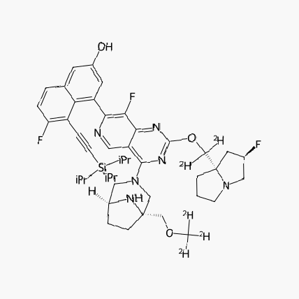 [2H]C([2H])([2H])OC[C@@]12CC[C@@H](CN(c3nc(OC([2H])([2H])[C@@]45CCCN4C[C@H](F)C5)nc4c(F)c(-c5cc(O)cc6ccc(F)c(C#C[Si](C(C)C)(C(C)C)C(C)C)c56)ncc34)C1)N2